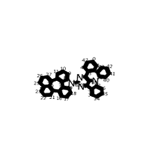 c1ccc(-c2nc(-n3c4cccc5c4c4c(cccc43)-c3cccc4cccc-5c34)nc3c4ccccc4n(-c4ccccc4)c23)cc1